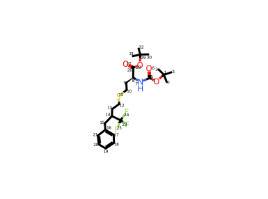 CC(C)(C)OC(=O)N[C@@H](CCSCCC(Cc1ccccc1)C(F)(F)F)C(=O)OC(C)(C)C